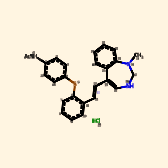 CC(=O)Nc1ccc(Sc2ccccc2/C=C/C2=CNCN(C)c3ccccc32)cc1.Cl